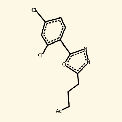 CC(=O)CCCc1nnc(-c2ccc(Cl)cc2Cl)o1